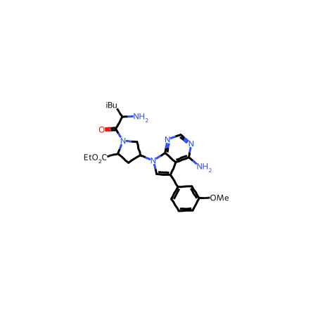 CCOC(=O)C1CC(n2cc(-c3cccc(OC)c3)c3c(N)ncnc32)CN1C(=O)C(N)C(C)CC